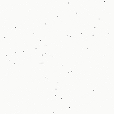 O=C[C@H](CCc1ccccc1)NC(=O)CN1CCOCC1